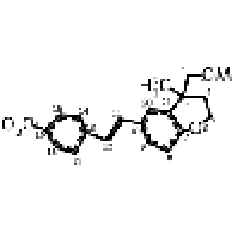 COCC1(C)CCOc2ccc(/C=C/c3ccc(C(=O)O)cc3)cc21